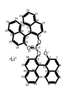 [Li+].[O-]c1ccc2ccccc2c1-c1c([O][Ga]2[O]c3ccc4ccccc4c3-c3c(ccc4ccccc34)[O]2)ccc2ccccc12